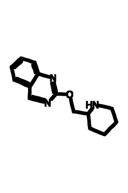 c1ccc2nc(OCC3CCCCN3)ncc2c1